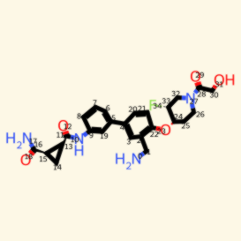 NCc1cc(-c2cccc(NC(=O)[C@@H]3C[C@H]3C(N)=O)c2)ccc1O[C@H]1CCN(C(=O)CO)C[C@H]1F